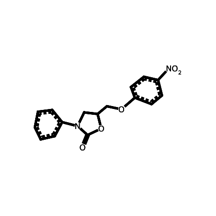 O=C1OC(COc2ccc([N+](=O)[O-])cc2)CN1c1ccccc1